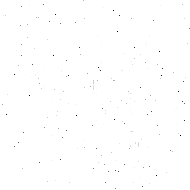 COC1(OC)OCCC1CN(C[C@H](Cc1ccccc1)NC(=O)OCc1cncs1)C[C@H](Cc1ccccc1)NC(=O)OCc1cncs1